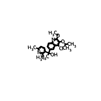 COc1nc2ccc(C(C)(O)c3ccc(C)nc3C)cc2c(Cl)c1OC(C)C